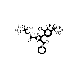 CC(C)(O)CNC(=O)c1nc(C(=O)N2CCCCC2)c(-c2ccc(C(N=O)(C(F)(F)F)C(F)(F)F)c(Cl)c2Cl)s1